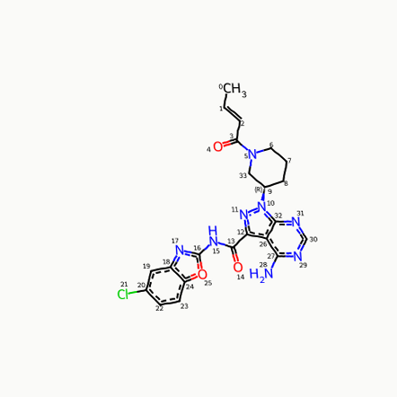 CC=CC(=O)N1CCC[C@@H](n2nc(C(=O)Nc3nc4cc(Cl)ccc4o3)c3c(N)ncnc32)C1